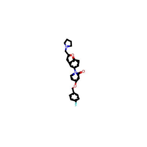 O=c1cc(OCc2ccc(F)cc2)ccn1-c1ccc2oc(CN3CCCC3)cc2c1